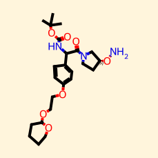 CC(C)(C)OC(=O)NC(C(=O)N1CC[C@H](ON)C1)c1ccc(OCCOC2CCCCO2)cc1